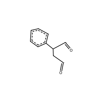 O=[C]CC([C]=O)c1ccccc1